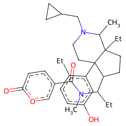 CCc1ccc(O)cc1C12CCN(CC3CC3)C(C)C1(CC)CCC2C(CC)N(C)C(=O)c1ccc(=O)oc1